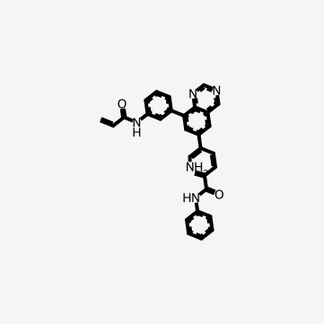 C=CC(=O)Nc1cccc(-c2cc(C(/C=C\C(=C)C(=O)Nc3ccccc3)=C/N)cc3cncnc23)c1